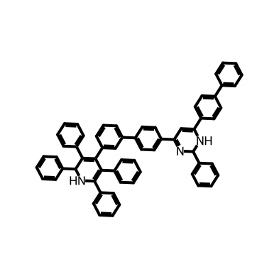 C1=C(c2ccc(-c3ccccc3)cc2)NC(c2ccccc2)N=C1c1ccc(-c2cccc(C3=C(c4ccccc4)C(c4ccccc4)NC(c4ccccc4)=C3c3ccccc3)c2)cc1